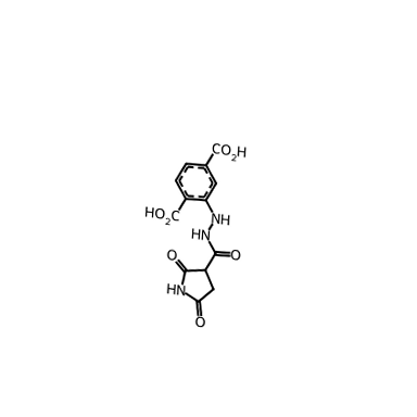 O=C1CC(C(=O)NNc2cc(C(=O)O)ccc2C(=O)O)C(=O)N1